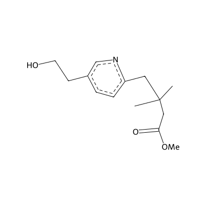 COC(=O)CC(C)(C)Cc1ccc(CCO)cn1